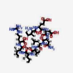 CC[C@H](C)[C@H](N)C(=O)N[C@@H](CCC(=O)O)C(=O)N[C@@H](CC(=O)O)C(=O)N[C@@H](CC(N)=O)C(=O)N[C@@H](CC(C)C)C(=O)N[C@H](C(=O)N[C@H](C(=O)N[C@H](C(=O)N[C@@H](CCCNC(=N)N)C(=O)O)[C@@H](C)CC)[C@@H](C)CC)C(C)C